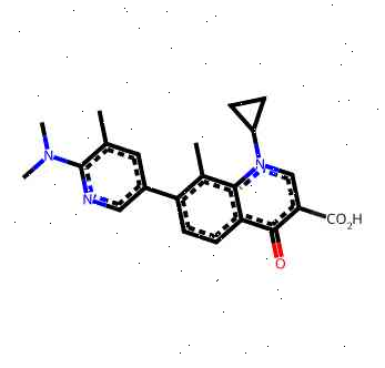 Cc1cc(-c2ccc3c(=O)c(C(=O)O)cn(C4CC4)c3c2C)cnc1N(C)C